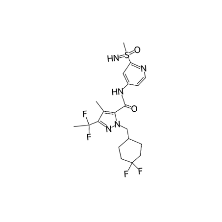 Cc1c(C(C)(F)F)nn(CC2CCC(F)(F)CC2)c1C(=O)Nc1ccnc(S(C)(=N)=O)c1